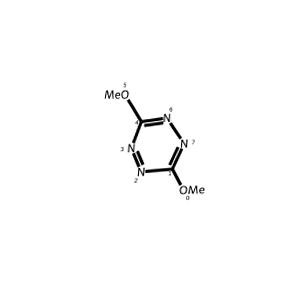 COc1nnc(OC)nn1